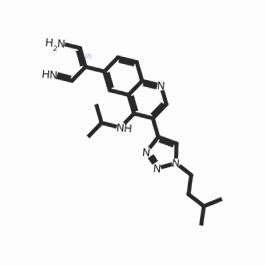 CC(C)CCn1cc(-c2cnc3ccc(/C(C=N)=C/N)cc3c2NC(C)C)nn1